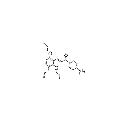 C=CCc1ccc(OCCC)c(C=CC(=O)c2ccc(NC)cc2)c1OCCC